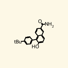 CC(C)(C)c1ccc(-c2c(O)ccc3cc(C(N)=O)ccc23)cc1